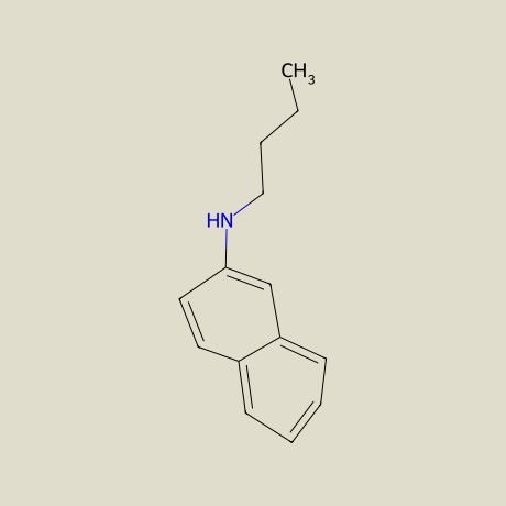 CCCCNc1ccc2ccccc2c1